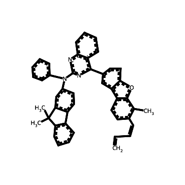 C=C/C=C\c1ccc2c(oc3ccc(-c4nc(N(c5ccccc5)c5ccc6c(c5)C(C)(C)c5ccccc5-6)nc5ccccc45)cc32)c1C